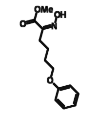 COC(=O)C(CCCCOc1ccccc1)=NO